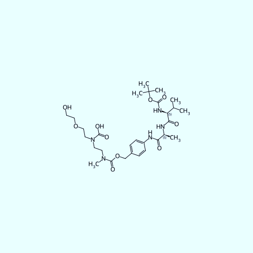 CC(C)[C@H](NC(=O)OC(C)(C)C)C(=O)N[C@@H](C)C(=O)Nc1ccc(COC(=O)N(C)CCN(CCOCCO)C(=O)O)cc1